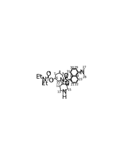 CCN(CC)C(=O)OC1CCC[N+](C2CCNCC2)(S(=O)(=O)c2cccc3c(N(C)C)cccc23)C1